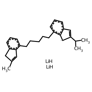 CC1=Cc2c(CCCCCc3cccc4c3[CH]C(C(C)C)=C4)cccc2C1.[LiH].[LiH]